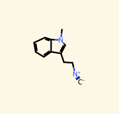 [C-]#[N+]CCc1cn(C)c2ccccc12